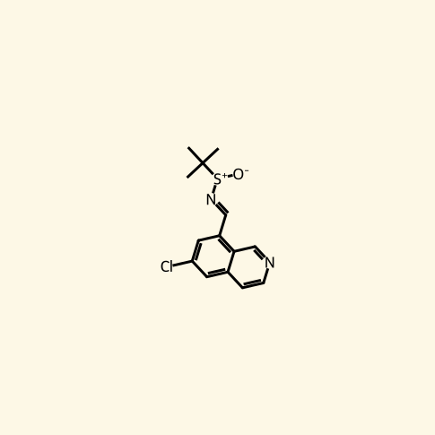 CC(C)(C)[S+]([O-])/N=C/c1cc(Cl)cc2ccncc12